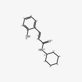 O=C(/C=C/c1ccccc1O)NC1CCCCC1